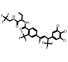 CCC(NC(=O)c1ccc(/C(F)=C/C(c2cc(Cl)c(Cl)c(Cl)c2)C(F)(F)F)cc1C(F)(F)F)C(=O)NCC(F)(F)F